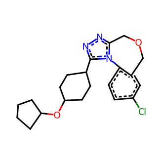 Clc1ccc2c(c1)COCc1nnc(C3CCC(OC4CCCC4)CC3)n1-2